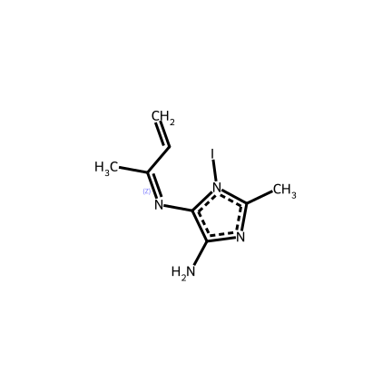 C=C/C(C)=N\c1c(N)nc(C)n1I